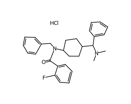 CN(C)C(c1ccccc1)C1CCC(N(Cc2ccccc2)C(=O)c2ccccc2F)CC1.Cl